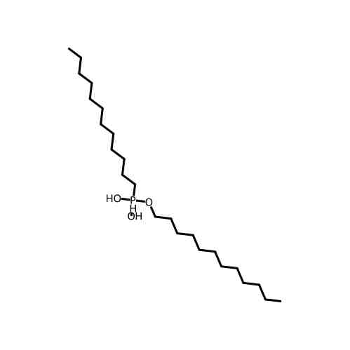 CCCCCCCCCCCCO[PH](O)(O)CCCCCCCCCCCC